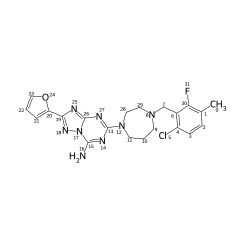 Cc1ccc(Cl)c(CN2CCCN(c3nc(N)n4nc(-c5ccco5)nc4n3)CC2)c1F